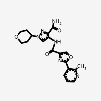 Cc1ncccc1-c1nc(C(=O)Nc2cn(C3CCOCC3)nc2C(N)=O)co1